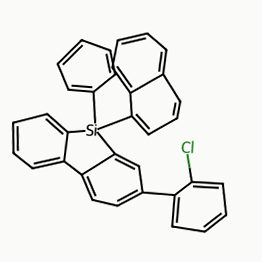 Clc1ccccc1-c1ccc2c(c1)[Si](c1ccccc1)(c1cccc3ccccc13)c1ccccc1-2